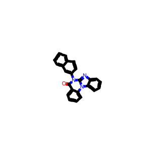 O=c1c2ccccc2n2c3ccccc3nc2n1-c1ccc2ccccc2c1